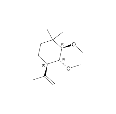 C=C(C)[C@H]1CCC(C)(C)[C@@H](OC)[C@@H]1OC